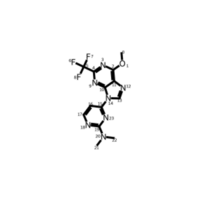 COc1nc(C(F)(F)F)nc2c1ncn2-c1ccnc(N(C)C)n1